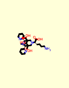 CN1[C@@H](c2ccccn2)C2(C(=O)O)CN([C@@H](CCCCN)C(=O)O)CC(C(=O)O)([C@H]2O)[C@H]1c1ccccn1